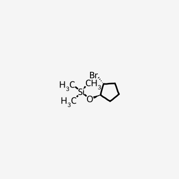 C[Si](C)(C)O[C@@H]1CCC[C@H]1Br